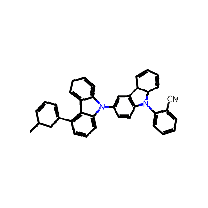 CC1C=CC=C(c2cccc3c2c2c(n3-c3ccc4c(c3)C3C=CC=CC3N4c3ccccc3C#N)=C=CCC=2)C1